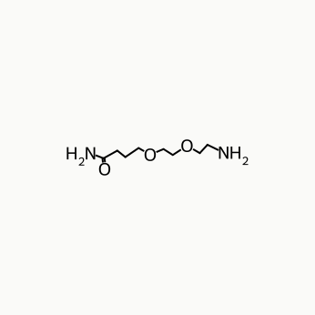 NCCOCCOCCCC(N)=O